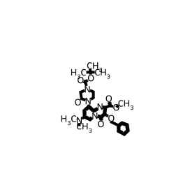 COC(=O)c1nc2c(N3CCN(C(=O)OC(C)(C)C)CC3=O)cc(N(C)C)cn2c(=O)c1OCc1ccccc1